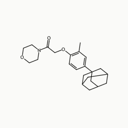 Cc1cc(C23CC4CC(CC(C4)C2)C3)ccc1OCC(=O)N1CCOCC1